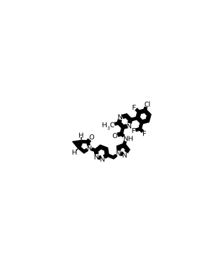 Cc1ncc(-c2c(C(F)F)ccc(Cl)c2F)nc1C(=O)Nc1cnn(Cc2ccc(N3C[C@H]4C[C@H]4C3=O)nn2)c1